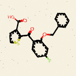 O=C(O)c1ccsc1C(=O)c1ccc(F)cc1OCc1ccccc1